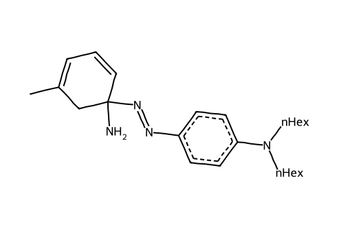 CCCCCCN(CCCCCC)c1ccc(/N=N/C2(N)C=CC=C(C)C2)cc1